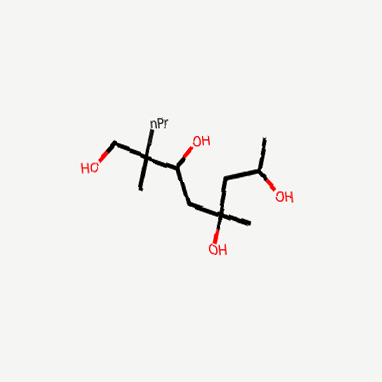 CCCC(C)(CO)C(O)CC(C)(O)CC(C)O